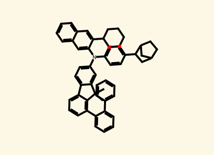 CC1(C)c2cc(N(c3ccc(C4CC5CCC4C5)cc3)c3cc4ccccc4cc3C3CCCCC3)ccc2-c2cccc(-c3ccccc3-c3ccccc3)c21